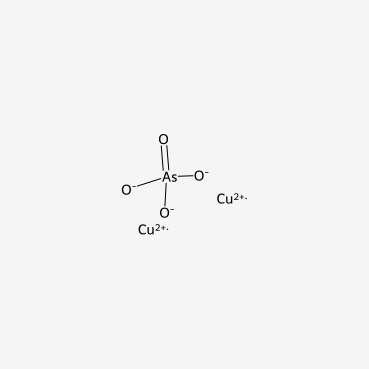 O=[As]([O-])([O-])[O-].[Cu+2].[Cu+2]